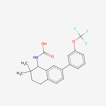 CC1(C)CCc2ccc(-c3cccc(OC(F)(F)F)c3)cc2C1NC(=O)O